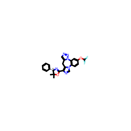 CC1(C)OC(c2ncn3c2Cc2cnnn2-c2cc(OC(F)F)ccc2-3)=N[C@H]1c1ccccc1